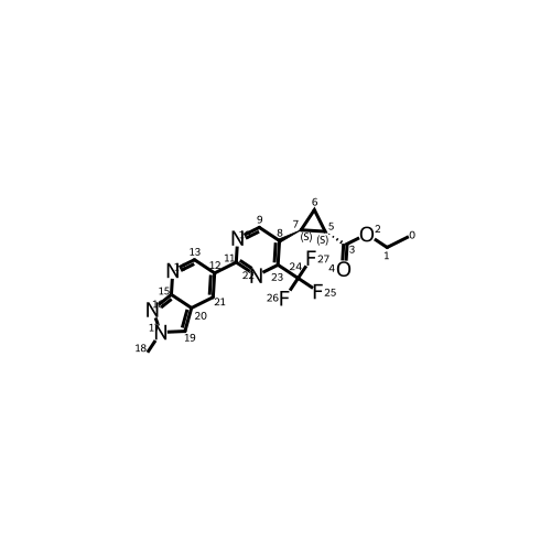 CCOC(=O)[C@H]1C[C@@H]1c1cnc(-c2cnc3nn(C)cc3c2)nc1C(F)(F)F